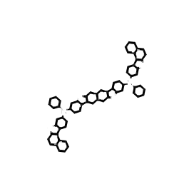 c1ccc(N(c2ccc3c(c2)oc2cc4cc5c(cc4cc23)oc2cc(N(c3ccccc3)c3ccc4c(c3)oc3ccc6ccccc6c34)ccc25)c2ccc3c(c2)oc2ccc4ccccc4c23)cc1